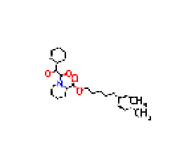 C/C=C(\C=C/CC)CCCCCOC(=O)C1CCCCN1C(=O)C(=O)C1CCCCC1